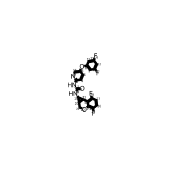 O=C(Nc1ccc(Oc2cc(F)cc(F)c2)cn1)NC1C2COc3c(F)ccc(F)c3C21